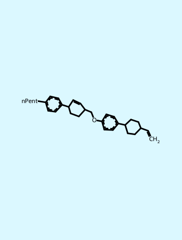 C=CC1CCC(c2ccc(OCC3C=CC(c4ccc(CCCCC)cc4)CC3)cc2)CC1